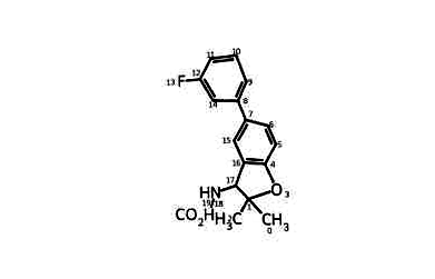 CC1(C)Oc2ccc(-c3cccc(F)c3)cc2C1NC(=O)O